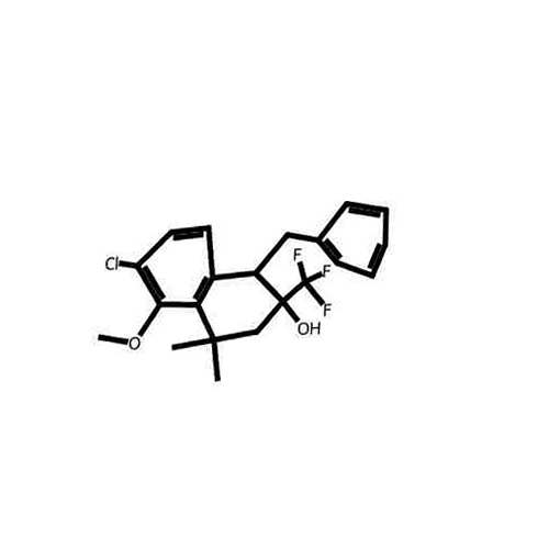 COc1c(Cl)ccc2c1C(C)(C)CC(O)(C(F)(F)F)C2Cc1ccccc1